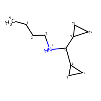 CCC[CH]NC(C1CC1)C1CC1